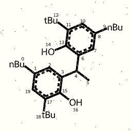 CCCCc1cc(C(C)c2cc(CCCC)cc(C(C)(C)C)c2O)c(O)c(C(C)(C)C)c1